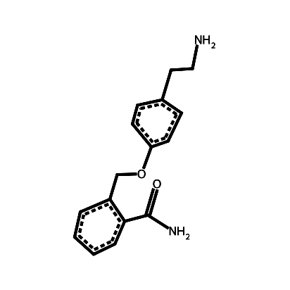 NCCc1ccc(OCc2ccccc2C(N)=O)cc1